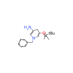 CC(C)(C)[Si](C)(C)OC1=CN(Cc2ccccc2)C=C(N)C1